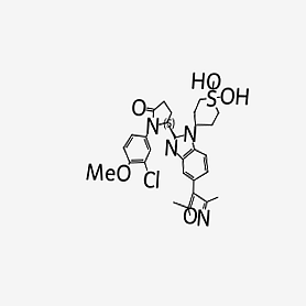 COc1ccc(N2C(=O)CC[C@H]2c2nc3cc(-c4c(C)noc4C)ccc3n2C2CCS(O)(O)CC2)cc1Cl